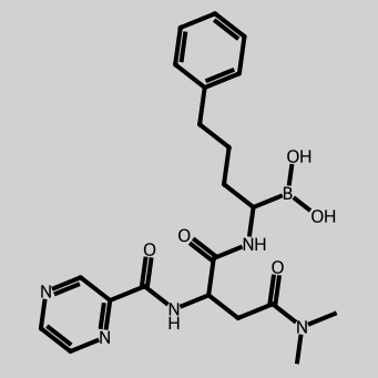 CN(C)C(=O)CC(NC(=O)c1cnccn1)C(=O)NC(CCCc1ccccc1)B(O)O